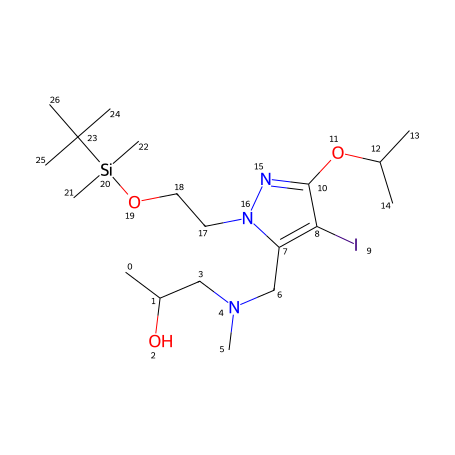 CC(O)CN(C)Cc1c(I)c(OC(C)C)nn1CCO[Si](C)(C)C(C)(C)C